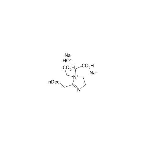 CCCCCCCCCCCC1=NCC[N+]1(CC(=O)O)CC(=O)O.[Na].[Na].[OH-]